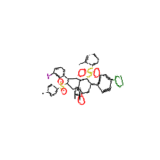 Cc1ccc(S(=O)(=O)C2C[C@H]3C(=O)CC(c4ccc(Cl)cc4)C(S(=O)(=O)c4ccccc4C)C3CC2c2cccc(I)c2)cc1